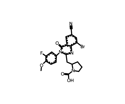 COc1ccc(-n2c(CC3CCCN3C(=O)O)nc3c(Br)cc(C#N)cc3c2=O)cc1F